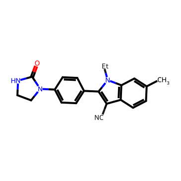 CCn1c(-c2ccc(N3CCNC3=O)cc2)c(C#N)c2ccc(C)cc21